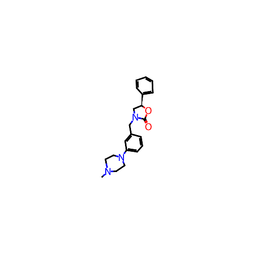 CN1CCN(c2cccc(CN3C[C@@H](c4ccccc4)OC3=O)c2)CC1